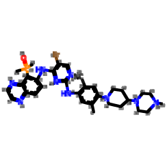 Cc1cc(Nc2ncc(Br)c(Nc3ccc4nccnc4c3P(C)(C)=O)n2)c(C#N)cc1N1CCC(N2CCN(C)CC2)CC1